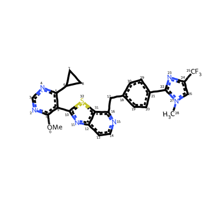 COc1ncnc(C2CC2)c1-c1nc2ccnc(Cc3ccc(-c4nc(C(F)(F)F)cn4C)cc3)c2s1